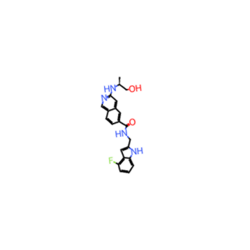 C[C@@H](CO)Nc1cc2cc(C(=O)NCc3cc4c(F)cccc4[nH]3)ccc2cn1